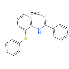 O=C/C=C(\Nc1ccccc1Sc1ccccc1)c1ccccc1